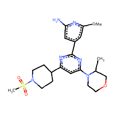 COc1cc(-c2nc(C3CCN(S(C)(=O)=O)CC3)cc(N3CCOCC3C)n2)cc(N)n1